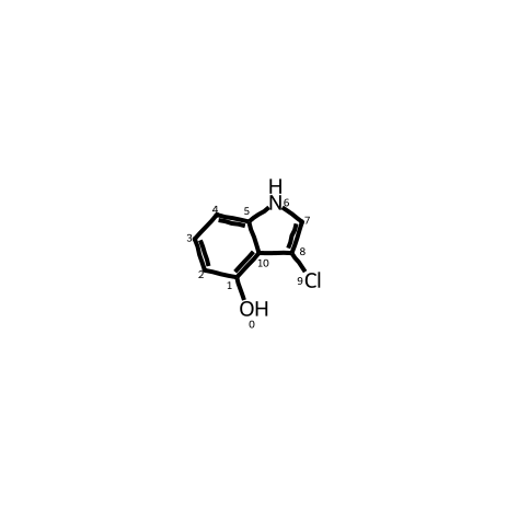 Oc1cccc2[nH]cc(Cl)c12